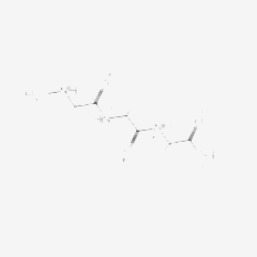 CNCC(=O)NCC(=O)NCC(=O)O